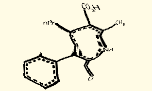 CCCc1c(C(=O)O)c(C)[nH]c(=O)c1-c1ccccc1